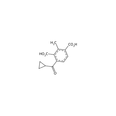 Cc1c(C(=O)O)ccc(C(=O)C2CC2)c1C(=O)O